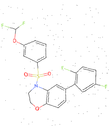 O=S(=O)(c1cccc(OC(F)F)c1)N1CCOc2ccc(-c3cc(F)ccc3F)cc21